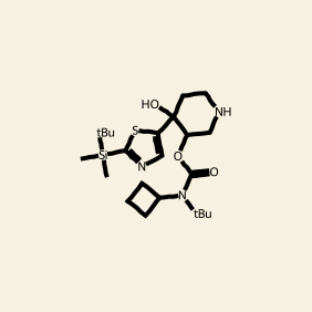 CC(C)(C)N(C(=O)OC1CNCCC1(O)c1cnc([Si](C)(C)C(C)(C)C)s1)C1CCC1